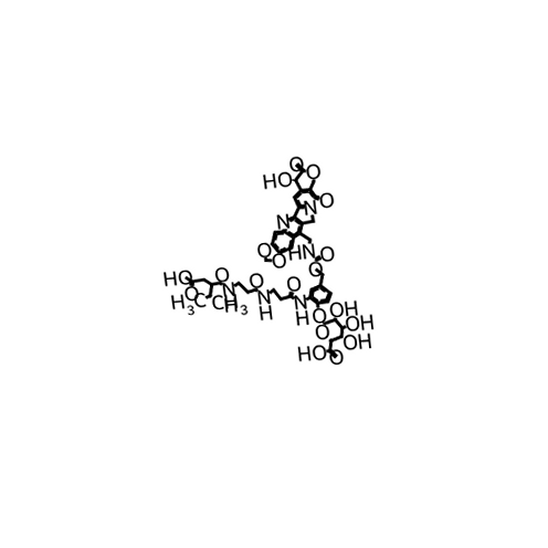 CC(C)C(CC(=O)O)C(=O)NCCC(=O)NCCC(=O)Nc1cc(COC(=O)NCc2c3c(nc4cc5c(cc24)OCO5)-c2cc4c(c(=O)n2C3)COC(=O)[C@H]4O)ccc1O[C@@H]1OC(C(=O)O)[C@@H](O)C(O)C1O